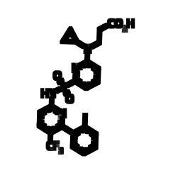 Cc1ccccc1-c1nc(NS(=O)(=O)c2cccc(N(CCC(=O)O)C3CC3)n2)ccc1C(F)(F)F